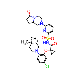 CC1(C)CCN(c2ccc(Cl)cc2OC2(C(=O)NS(=O)(=O)c3cccc(N4CCN5C(=O)CCC5C4)n3)CC2)CC1